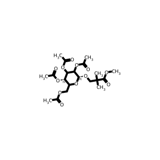 COC(=O)C(C)(C)CO[C@@H]1OC(COC(C)=O)[C@H](OC(C)=O)C(OC(C)=O)C1OC(C)=O